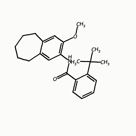 COc1cc2c(cc1NC(=O)c1ccccc1C(C)(C)C)CCCCC2